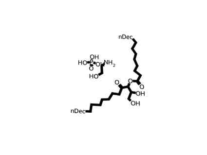 CCCCCCCCCCCCCCCCCC(=O)OC(C(=O)CCCCCCCCCCCCCCCCC)C(O)CO.NCCO.O=P(O)(O)O